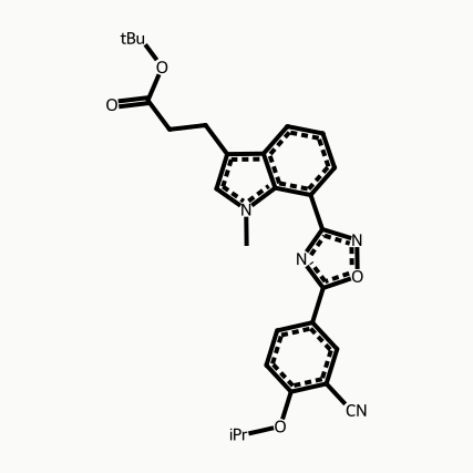 CC(C)Oc1ccc(-c2nc(-c3cccc4c(CCC(=O)OC(C)(C)C)cn(C)c34)no2)cc1C#N